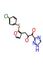 O=C(Cc1ccoc1Sc1ccc(Cl)cc1)C(=O)c1nc[nH]n1